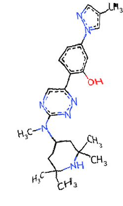 Cc1cnn(-c2ccc(-c3cnc(N(C)C4CC(C)(C)NC(C)(C)C4)nn3)c(O)c2)c1